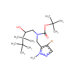 Cn1ncc(Br)c1CN(CC(O)[Si](C)(C)C(C)(C)C)C(=O)OC(C)(C)C